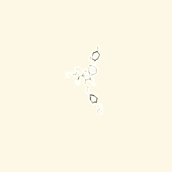 CCOc1ccc(CCCC(C(=O)N2CCN(c3ccc(C)cn3)CC2)[C@H](O)C(=O)NO)cc1